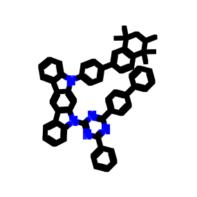 CC1CC(C)(C)c2cc(-c3ccc(-n4c5ccccc5c5cc6c7ccccc7n(-c7nc(-c8ccccc8)nc(-c8ccc(-c9ccccc9)cc8)n7)c6cc54)cc3)ccc2C1(C)C